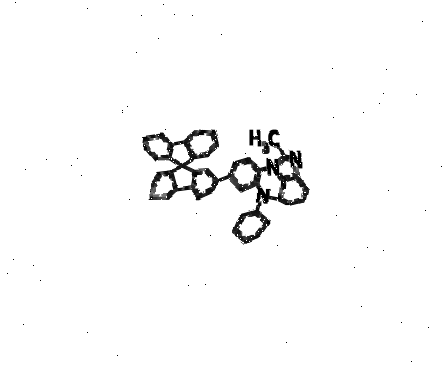 Cc1nc2cccc3c2n1-c1ccc(-c2ccc4c(c2)C2(c5ccccc5-c5ccccc52)c2ccccc2-4)cc1N3c1ccccc1